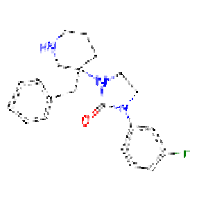 O=C1N(c2cccc(F)c2)CCN1C1(Cc2ccccc2)CCCNC1